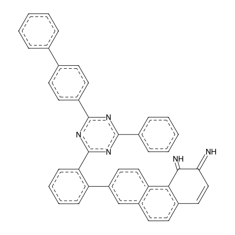 N=C1C=Cc2ccc3cc(-c4ccccc4-c4nc(-c5ccccc5)nc(-c5ccc(-c6ccccc6)cc5)n4)ccc3c2C1=N